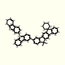 CC1(C)c2ccc(-c3ccc4c(c3)c3ccccc3n4-c3ccc4c5c(oc4c3)CCC=C5)cc2-c2cc3c(cc21)-c1ccccc1C31CCCCC1